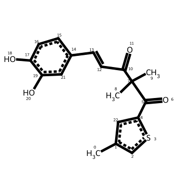 Cc1csc(C(=O)C(C)(C)C(=O)C=Cc2ccc(O)c(O)c2)c1